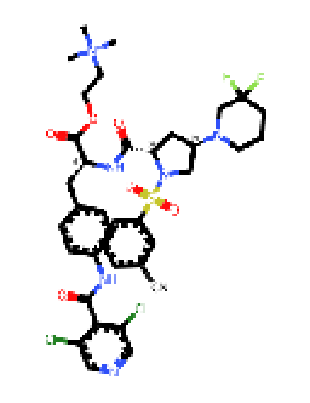 C[N+](C)(C)CCOC(=O)[C@H](Cc1ccc(NC(=O)c2c(Cl)cncc2Cl)cc1)NC(=O)[C@@H]1C[C@@H](N2CCCC(F)(F)C2)CN1S(=O)(=O)c1cccc(C#N)c1